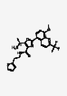 COc1ccc(-c2nc(C(=O)NCCc3cccs3)c([C@H](C)N)o2)c2ccc(C(F)(F)F)nc12